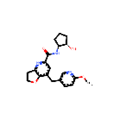 COc1ccc(Cc2cc(C(=O)N[C@H]3CCC[C@@H]3O)nc3c2OCC3)cn1